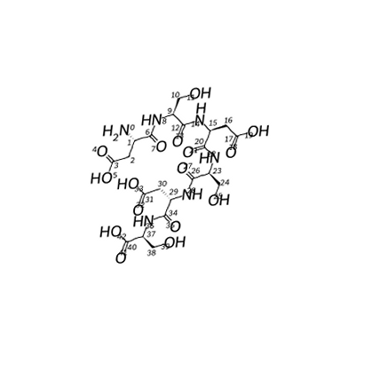 N[C@@H](CC(=O)O)C(=O)N[C@@H](CO)C(=O)N[C@@H](CC(=O)O)C(=O)N[C@@H](CO)C(=O)N[C@@H](CC(=O)O)C(=O)N[C@@H](CO)C(=O)O